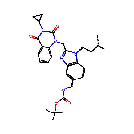 CC(C)CCn1c(Cn2c(=O)n(C3CC3)c(=O)c3ccccc32)nc2cc(CNC(=O)OC(C)(C)C)ccc21